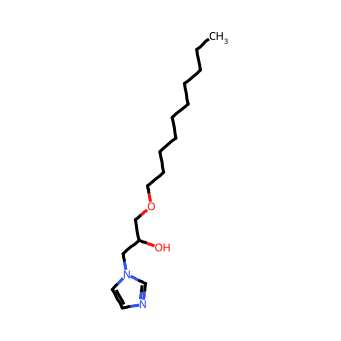 CCCCCCCCCCOCC(O)Cn1ccnc1